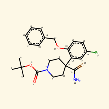 CC(C)(C)OC(=O)N1CCC(C(N)=S)(c2cc(Br)ccc2OCc2ccccc2)CC1